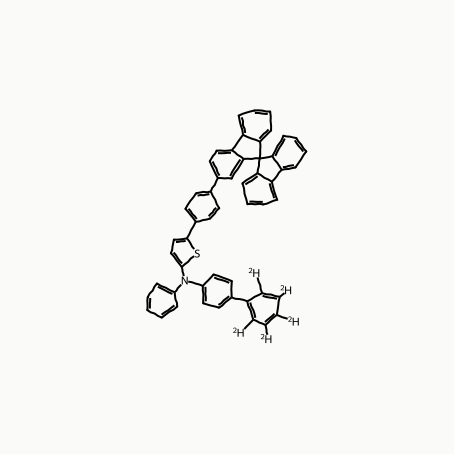 [2H]c1c([2H])c([2H])c(-c2ccc(N(c3ccccc3)c3ccc(-c4ccc(-c5ccc6c(c5)C5(c7ccccc7-c7ccccc75)c5ccccc5-6)cc4)s3)cc2)c([2H])c1[2H]